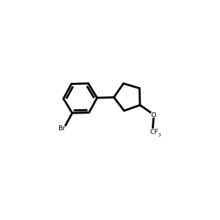 FC(F)(F)OC1CCC(c2cccc(Br)c2)C1